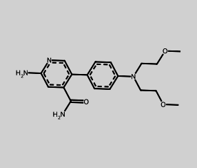 COCCN(CCOC)c1ccc(-c2cnc(N)cc2C(N)=O)cc1